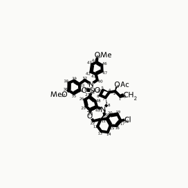 C=C[C@H](OC(C)=O)[C@@H]1CC[C@H]1CN1C[C@@]2(CCCc3cc(Cl)ccc32)COc2ccc(S(=O)(=O)N(Cc3ccc(OC)cc3)Cc3ccc(OC)cc3)cc21